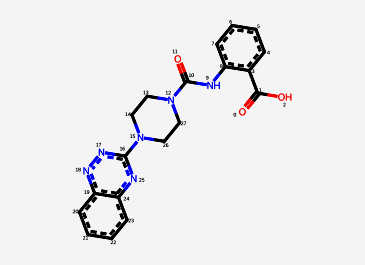 O=C(O)c1ccccc1NC(=O)N1CCN(c2nnc3ccccc3n2)CC1